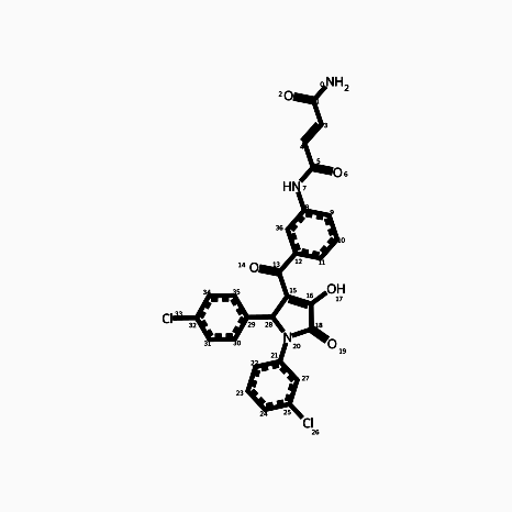 NC(=O)/C=C/C(=O)Nc1cccc(C(=O)C2=C(O)C(=O)N(c3cccc(Cl)c3)C2c2ccc(Cl)cc2)c1